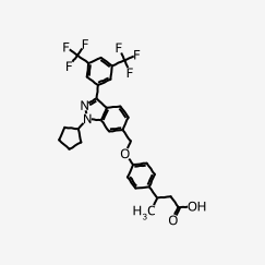 CC(CC(=O)O)c1ccc(OCc2ccc3c(-c4cc(C(F)(F)F)cc(C(F)(F)F)c4)nn(C4CCCC4)c3c2)cc1